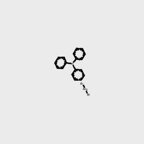 [Br][Mg][Br].c1ccc(N(c2ccccc2)c2ccccc2)cc1